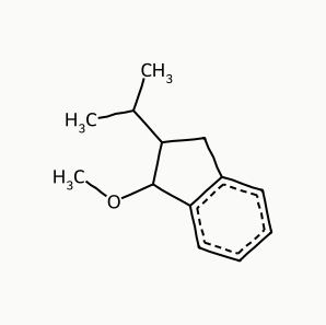 COC1c2ccccc2CC1C(C)C